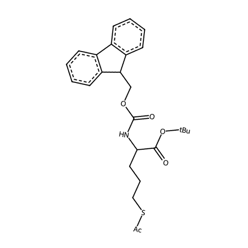 CC(=O)SCCCC(NC(=O)OCC1c2ccccc2-c2ccccc21)C(=O)OC(C)(C)C